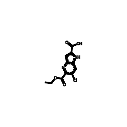 CCOC(=O)c1nc2cc(C(=O)O)[nH]c2cc1Cl